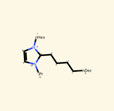 CCCCCCCCCCCCCCC1N(CCCCCC)C=CN1C(C)C